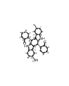 Cc1ccc2[nH]c3c(-c4ccccc4Cl)c4c([nH]c5ccc(C(C)C)cc54)c(-c4ccccc4Cl)c3c2c1